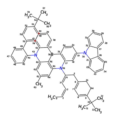 C/C=C\C=C(/CC1=CC=C(C(C)(C)C)CC1)N1c2cc(-n3c4ccccc4c4ccccc43)ccc2B2c3ccccc3N(c3ccccc3-c3ccc(C(C)(C)C)cc3)c3cc(C)cc1c32